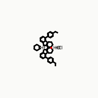 CCc1ccc(-c2cccc3c2C=C(C2CCCCC2)[CH]3[Hf]2([CH]3C(C4CCCCC4)=Cc4c(-c5ccc(CC)cc5)cccc43)[CH]3CCCC[CH]32)cc1.Cl.Cl